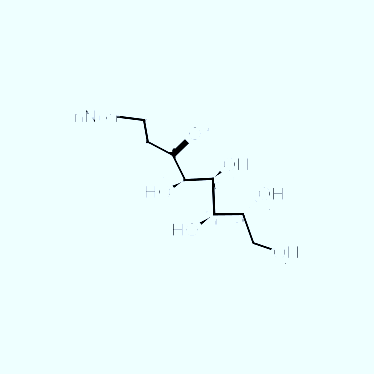 CCCCCCCCCCCC(=O)[C@H](O)[C@@H](O)[C@H](O)[C@H](O)CO